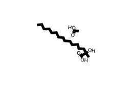 CC(=O)O.CCCCCCCCCCCCCCC(C)(O)C(=O)O